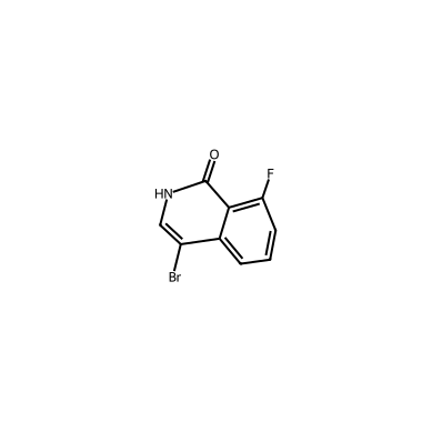 O=c1[nH]cc(Br)c2cccc(F)c12